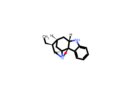 CC[C@@H]1CN2CC[C@]34c5ccccc5N[C@H]3C[C@H]1C[C@H]24